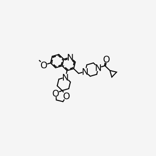 COc1ccc2ncc(CN3CCN(C(=O)C4CC4)CC3)c(N3CCC4(CC3)OCCO4)c2c1